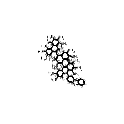 Bc1c(B)c(B)c2c(-c3c(B)c4c(B)c(B)c(B)c(B)c4c4c(B)c(B)c(B)c(B)c34)c(B)c(B)c(-c3c4c(B)c(B)c(B)c(B)c4c(-c4ccc5oc6ccccc6c5c4)c4c(B)c(B)c(B)c(B)c34)c2c1B